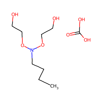 CCCCN(OCCO)OCCO.O=C(O)O